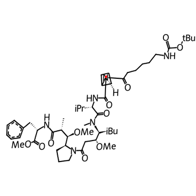 CC[C@H](C)[C@@H]([C@@H](CC(=O)N1CCC[C@H]1[C@H](OC)[C@@H](C)C(=O)N[C@@H](Cc1ccccc1)C(=O)OC)OC)N(C)C(=O)[C@@H](NC(=O)[C@@H]1C2CC(C2)N1C(=O)CCCCCNC(=O)OC(C)(C)C)C(C)C